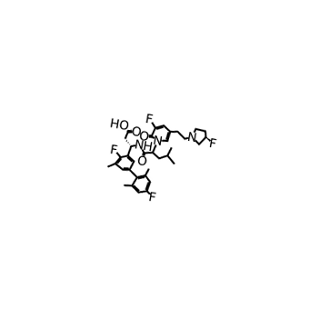 Cc1cc(-c2c(C)cc(F)cc2C)cc([C@H](CC(=O)O)NC(=O)C(CC(C)C)n2cc(CCN3CC[C@@H](F)C3)cc(F)c2=O)c1F